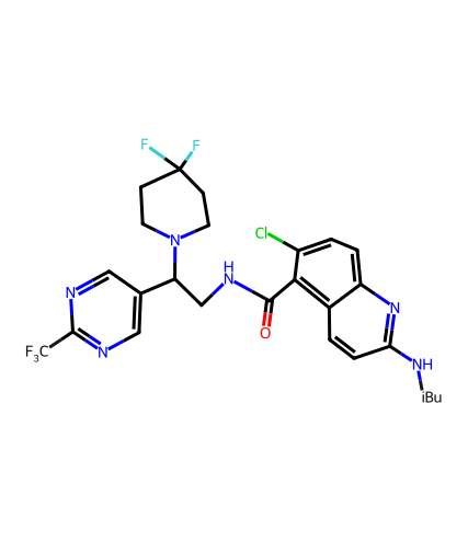 CCC(C)Nc1ccc2c(C(=O)NCC(c3cnc(C(F)(F)F)nc3)N3CCC(F)(F)CC3)c(Cl)ccc2n1